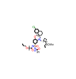 C=CCOC(C)(C)C(=O)N=S(=O)(NC(=O)C(C)C)c1ccc2c(c1)N(C[C@@H]1CC[C@H]1[C@H](C=C)OC)C[C@@]1(CCCc3cc(Cl)ccc31)CO2